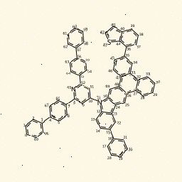 c1ccc(-c2ccc(-c3cc(-n4c5ccc(-c6ccccc6)cc5c5cc6c7ccccc7c7cc(-c8cccc9ccsc89)ccc7c6cc54)cc(-c4ccc(-c5ccccc5)cc4)n3)cc2)cc1